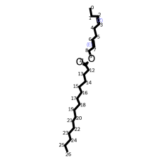 CC/C=C\CC/C=C/COC(=O)CCCCCCCCCCCCCCC